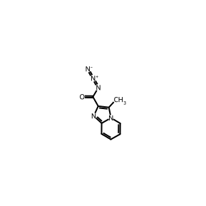 Cc1c(C(=O)N=[N+]=[N-])nc2ccccn12